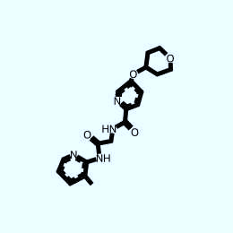 Cc1cccnc1NC(=O)CNC(=O)c1ccc(OC2CCOCC2)cn1